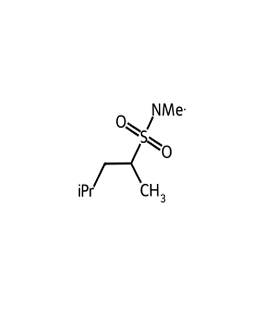 C[N]S(=O)(=O)C(C)CC(C)C